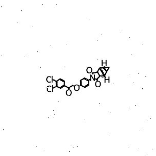 O=C(COc1ccc(N2C(=O)C3C(C2=O)[C@@H]2C=CC3[C@H]3CC23)cc1)c1ccc(Cl)c(Cl)c1